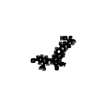 CC(C)C1=C2[C@H]3CCC4[C@@]5(C)CC[C@H](OC(=O)CC(C)(C)C(=O)O)C(C)C5CC[C@@]4(C)[C@]3(C)CC[C@@]2(CCN(CCN(C)C)Cc2ccc(Cl)cc2)CC1=O